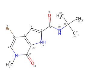 Cn1cc(Br)c2cc(C(=O)NC(C)(C)C(F)(F)F)[nH]c2c1=O